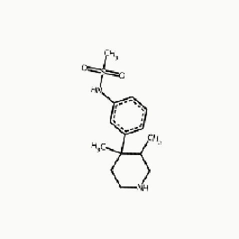 CC1CNCCC1(C)c1cccc(NS(C)(=O)=O)c1